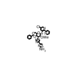 COC1C(Sc2cc(Cl)cnc2-c2ccccn2)OC2COC(c3ccccc3)OC2C1n1cc(-c2csc(N)n2)nn1